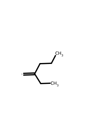 [C]=C(CC)CCC